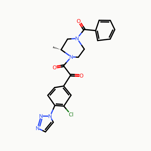 C[C@@H]1CN(C(=O)c2ccccc2)CCN1C(=O)C(=O)c1ccc(-n2ccnn2)c(Cl)c1